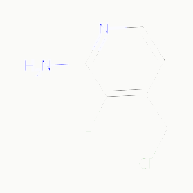 Nc1nccc(CCl)c1F